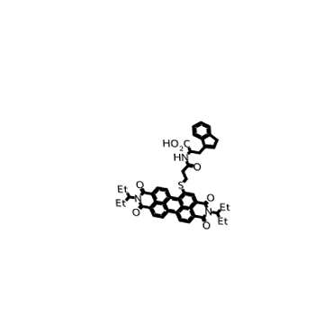 CCC(CC)N1C(=O)c2ccc3c4ccc5c6c(cc(SCCC(=O)NC(CC7=CCc8ccccc87)C(=O)O)c(c7ccc(c2c37)C1=O)c64)C(=O)N(C(CC)CC)C5=O